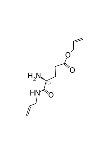 C=CCNC(=O)[C@@H](N)CCC(=O)OCC=C